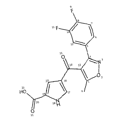 Cc1onc(-c2ccc(F)c(F)c2)c1C(=O)c1c[nH]c(C(=O)O)c1